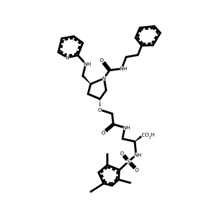 Cc1cc(C)c(S(=O)(=O)N[C@@H](CNC(=O)CO[C@@H]2C[C@@H](CNc3ccccn3)N(C(=O)NCCc3ccccc3)C2)C(=O)O)c(C)c1